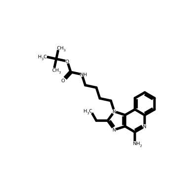 CCc1nc2c(N)nc3ccccc3c2n1CCCCNC(=O)OC(C)(C)C